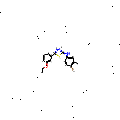 CCOc1cccc(-c2nnc(Nc3ccc(Br)c(C)c3)s2)c1